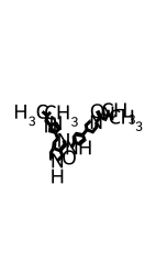 CC(C)CN1CC(c2cc3cc[nH]c(=O)c3c(Nc3ccc(C4CCN(C(=O)CN(C)C)CC4)cc3)n2)C=N1